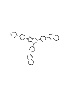 c1ccc2cc(-c3ccc(-c4cc(-c5ccc(-c6ccc7ccccc7c6)cc5)c5nn(-c6ccc(-c7ccncc7)cc6)nc5c4)cc3)ccc2c1